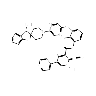 CN1C=C(c2ccncc2)C(O)=C(C(=O)Nc2cccc(Sc3cnc(N4CCC5(CC4)Oc4ccccc4[C@H]5N)cn3)c2Cl)C1=C=O